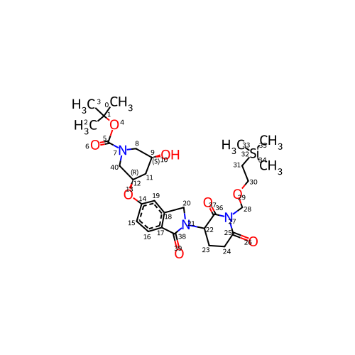 CC(C)(C)OC(=O)N1C[C@@H](O)C[C@@H](Oc2ccc3c(c2)CN(C2CCC(=O)N(COCC[Si](C)(C)C)C2=O)C3=O)C1